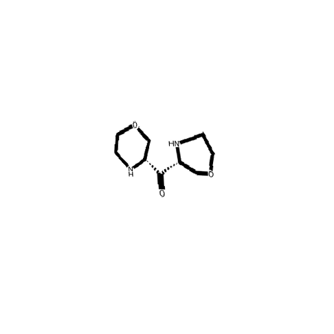 O=C([C@H]1COCCN1)[C@H]1COCCN1